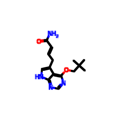 CC(C)(C)COc1ncnc2[nH]cc(CC=CC(N)=O)c12